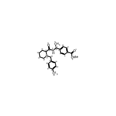 COC(=O)c1ccc([C@H](C)NC(=O)C2CCCCN2Cc2ccc(C(F)(F)F)cc2)cc1